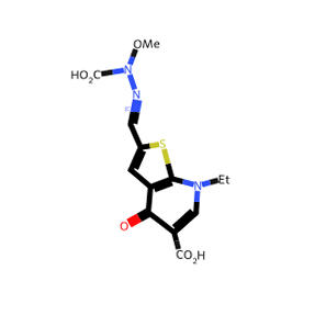 CCn1cc(C(=O)O)c(=O)c2cc(/C=N/N(OC)C(=O)O)sc21